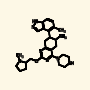 Cc1ccc2[nH]ncc2c1C1Cc2nc(OCC3CCCN3C)nc(N3CCNCC3)c2CC1C